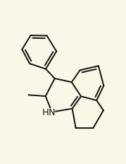 CC1NC2=C3C(=CC=CC3C1c1ccccc1)CCC2